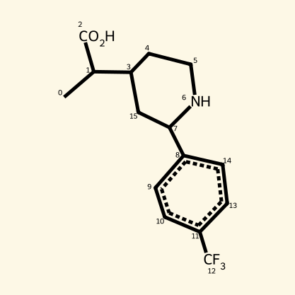 CC(C(=O)O)C1CCNC(c2ccc(C(F)(F)F)cc2)C1